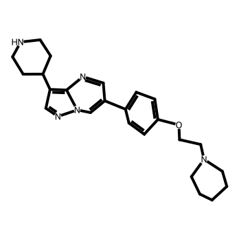 c1cc(-c2cnc3c(C4CCNCC4)cnn3c2)ccc1OCCN1CCCCC1